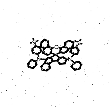 C[Si](C)(C)c1ccc(N(c2ccccc2)c2ccc3c(c2)C2(c4ccc5ccccc5c4Oc4c2ccc2ccccc42)c2cc(N(c4ccccc4)c4ccc([Si](C)(C)C)cc4)c4ccccc4c2-3)cc1